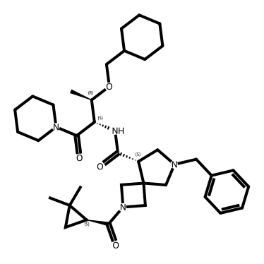 C[C@@H](OCC1CCCCC1)[C@H](NC(=O)[C@@H]1CN(Cc2ccccc2)CC12CN(C(=O)[C@H]1CC1(C)C)C2)C(=O)N1CCCCC1